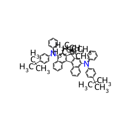 CC(C)(C)c1ccc(N(c2ccccc2)c2cc3c(c4ccccc24)-c2c(cc(N(c4ccccc4)c4ccc(C(C)(C)C)cc4)c4ccccc24)C3([Si](C)(C)C)[Si](C)(C)C)cc1